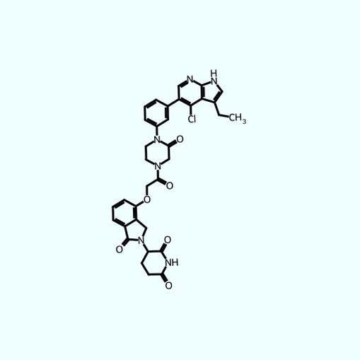 CCc1c[nH]c2ncc(-c3cccc(N4CCN(C(=O)COc5cccc6c5CN(C5CCC(=O)NC5=O)C6=O)CC4=O)c3)c(Cl)c12